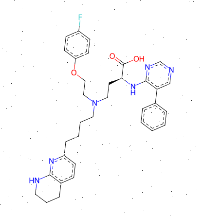 O=C(O)[C@H](CCN(CCCCc1ccc2c(n1)NCCC2)CCOc1ccc(F)cc1)Nc1ncncc1-c1ccccc1